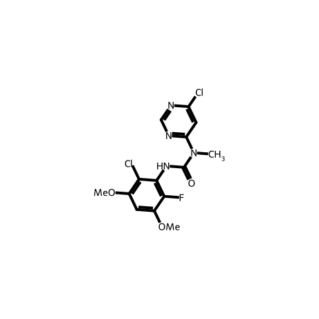 COc1cc(OC)c(Cl)c(NC(=O)N(C)c2cc(Cl)ncn2)c1F